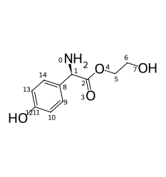 N[C@@H](C(=O)OCCO)c1ccc(O)cc1